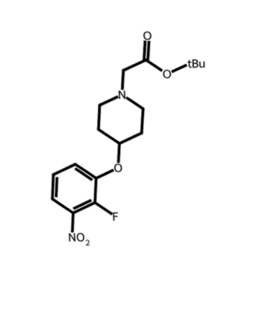 CC(C)(C)OC(=O)CN1CCC(Oc2cccc([N+](=O)[O-])c2F)CC1